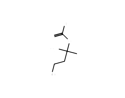 CC(C)CCC(C)(OC(=O)C(C)(C)C)C(=O)O